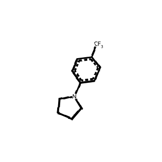 FC(F)(F)c1ccc(N2C[CH]CC2)cc1